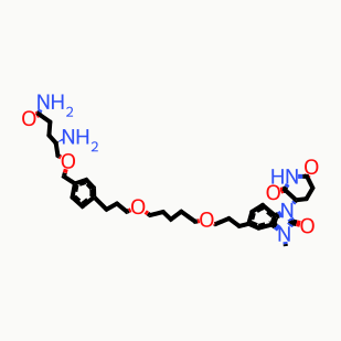 Cn1c(=O)n(C2CCC(=O)NC2=O)c2ccc(CCCOCCCCCOCCCc3ccc(COC[C@@H](N)CCC(N)=O)cc3)cc21